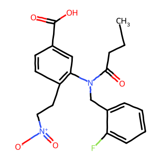 CCCC(=O)N(Cc1ccccc1F)c1cc(C(=O)O)ccc1CC[N+](=O)[O-]